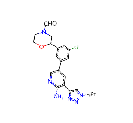 CC(C)n1cc(-c2cc(-c3cc(Cl)cc(C4CN(C=O)CCO4)c3)cnc2N)nn1